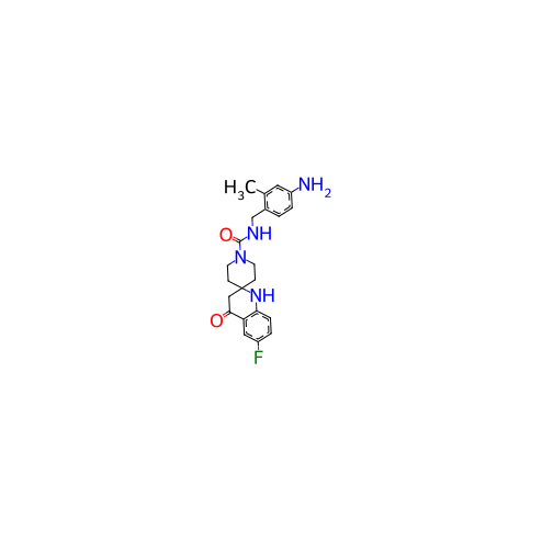 Cc1cc(N)ccc1CNC(=O)N1CCC2(CC1)CC(=O)c1cc(F)ccc1N2